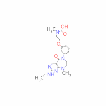 CCNc1ncc2c(n1)N(C)CCN(c1cccc(OCCN(C)C(=O)O)c1)C2=O